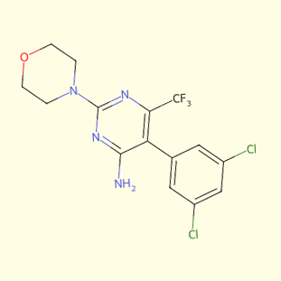 Nc1nc(N2CCOCC2)nc(C(F)(F)F)c1-c1cc(Cl)cc(Cl)c1